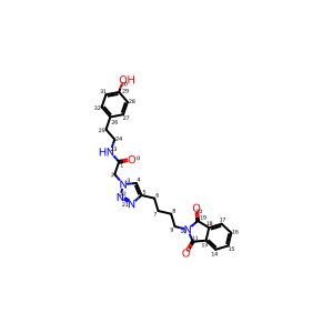 O=C(Cn1cc(CCCCN2C(=O)c3ccccc3C2=O)nn1)NCCc1ccc(O)cc1